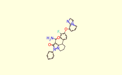 NC(=O)c1c2n(n(-c3ccccc3)c1=O)CCCC2c1ccc(Oc2cccn3ccnc23)c(F)c1